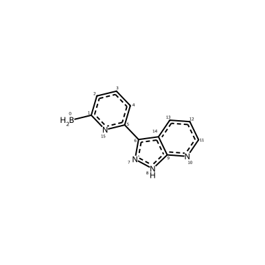 Bc1cccc(-c2n[nH]c3ncccc23)n1